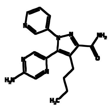 CCCCc1c(C(N)=O)nn(-c2cccnc2)c1-c1cnc(N)cn1